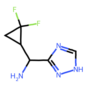 NC(c1nc[nH]n1)C1CC1(F)F